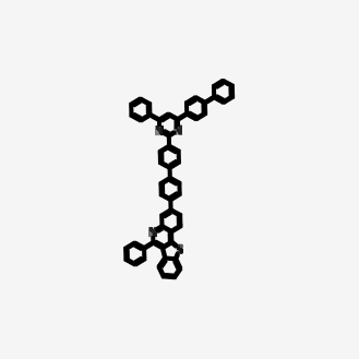 c1ccc(-c2ccc(-c3cc(-c4ccccc4)nc(-c4ccc(-c5ccc(-c6ccc7c(c6)nc(-c6ccccc6)c6c8ccccc8sc76)cc5)cc4)n3)cc2)cc1